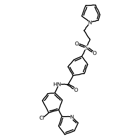 O=C(Nc1ccc(Cl)c(-c2ccccn2)c1)c1ccc(S(=O)(=O)CCN2C=C=CC=C2)cc1